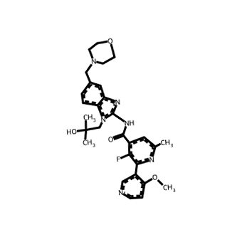 COc1ccncc1-c1nc(C)cc(C(=O)Nc2nc3cc(CN4CCOCC4)ccc3n2CC(C)(C)O)c1F